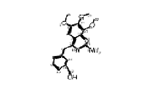 COc1cc2c(Cc3cccc(CO)c3)nc(N)nc2c(OC)c1OC